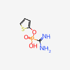 N=C(N)P(=O)(O)Oc1cccs1